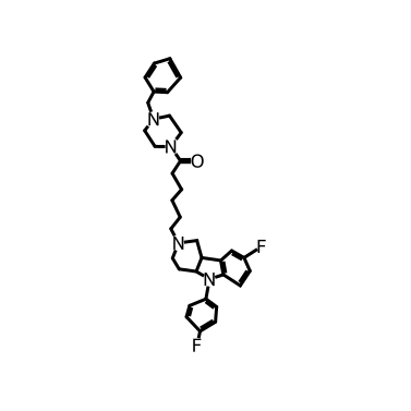 O=C(CCCCCN1CCC2C(C1)c1cc(F)ccc1N2c1ccc(F)cc1)N1CCN(Cc2ccccc2)CC1